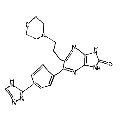 O=c1[nH]c2nc(CCN3CCOCC3)c(-c3ccc(-c4nnc[nH]4)cc3)nc2[nH]1